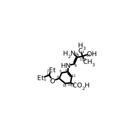 CCC(CC)OC1CC(N/C=C(\N)C(C)(C)O)=CC(C(=O)O)C1